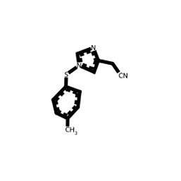 Cc1ccc(Sn2cnc(CC#N)c2)cc1